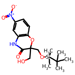 CC(C)(C)[Si](C)(C)OCC1(CO)Oc2ccc([N+](=O)[O-])cc2NC1=O